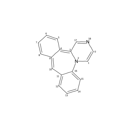 C1=CN2C(=c3ccccc3=Cc3ccccc32)C=N1